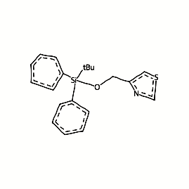 CC(C)(C)[Si](OCc1cscn1)(c1ccccc1)c1ccccc1